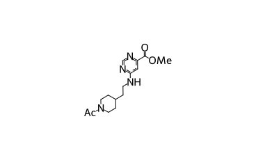 COC(=O)c1cc(NCCC2CCN(C(C)=O)CC2)ncn1